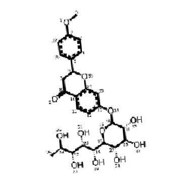 COc1ccc(C2CC(=O)c3ccc(OC4O[C@H]([C@H](O)[C@@H](O)[C@H](O)[C@@H](C)O)[C@@H](O)[C@H](O)[C@H]4O)cc3O2)cc1